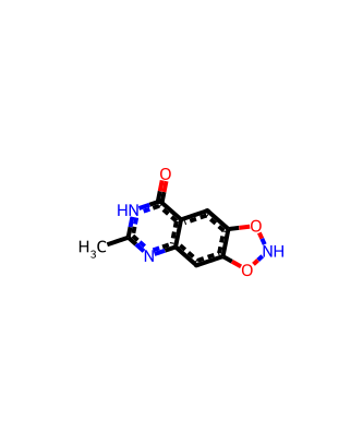 Cc1nc2cc3c(cc2c(=O)[nH]1)ONO3